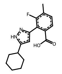 Cc1ccc(C(=O)O)c(-c2cc(C3CCCCC3)[nH]n2)c1F